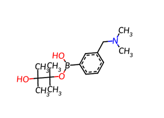 CN(C)Cc1cccc(B(O)OC(C)(C)C(C)(C)O)c1